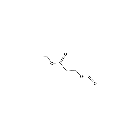 CCOC(=O)CCOC=O